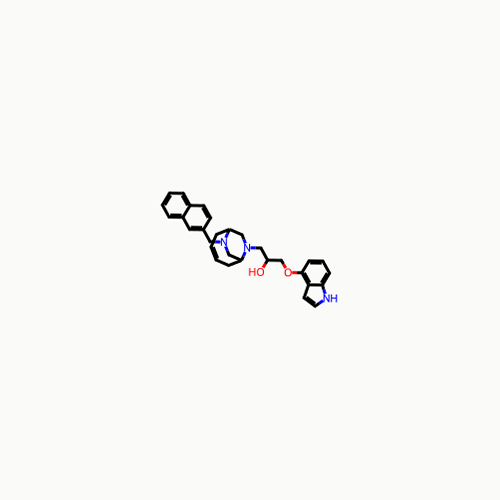 OC(COc1cccc2[nH]ccc12)CN1CC2CC=CCC1CN2Cc1ccc2ccccc2c1